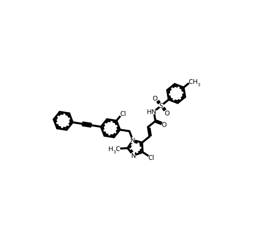 Cc1ccc(S(=O)(=O)NC(=O)/C=C/c2c(Cl)nc(C)n2Cc2ccc(C#Cc3ccccc3)cc2Cl)cc1